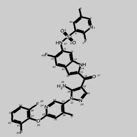 Cc1cnc(F)c(S(=O)(=O)Nc2cc3[nH]c(C(=O)c4cnn(-c5cnc(Oc6c(F)cccc6F)cc5C)c4N)cc3cc2F)c1